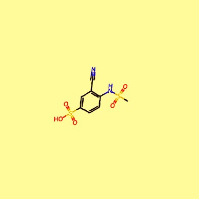 CS(=O)(=O)Nc1ccc(S(=O)(=O)O)cc1C#N